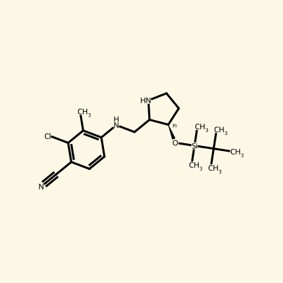 Cc1c(NCC2NCC[C@H]2O[Si](C)(C)C(C)(C)C)ccc(C#N)c1Cl